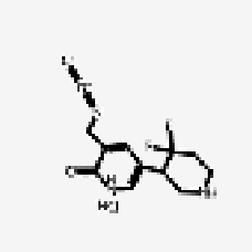 Cl.[N-]=[N+]=NCc1cc(C2CNCCC2(F)F)c[nH]c1=O